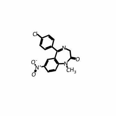 CN1C(=O)CN=C(c2ccc(Cl)cc2)c2cc([N+](=O)[O-])ccc21